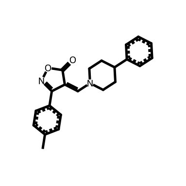 Cc1ccc(C2=NOC(=O)/C2=C\N2CCC(c3ccccc3)CC2)cc1